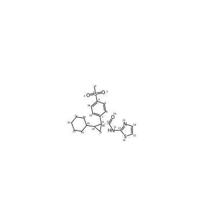 CS(=O)(=O)c1ccc([C@@]2(C(=O)Nc3nccs3)CC2C2CCCCC2)cc1